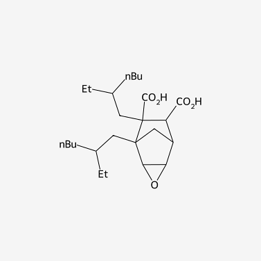 CCCCC(CC)CC12CC(C3OC31)C(C(=O)O)C2(CC(CC)CCCC)C(=O)O